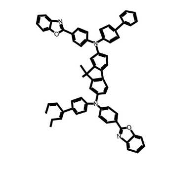 C/C=C\C(=C/CC)c1ccc(N(c2ccc(-c3nc4ccccc4o3)cc2)c2ccc3c(c2)C(C)(C)c2cc(N(c4ccc(-c5ccccc5)cc4)c4ccc(-c5nc6ccccc6o5)cc4)ccc2-3)cc1